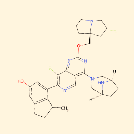 CC1CCc2cc(O)cc(-c3ncc4c(N5C[C@H]6CC[C@@H](C5)N6)nc(OC[C@@]56CCCN5C[C@H](F)C6)nc4c3F)c21